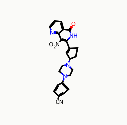 N#Cc1ccc(N2CCN([C@H]3C=C(c4[nH]c(=O)c5cccnc5c4[N+](=O)[O-])CC3)CC2)cc1